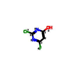 Oc1cc(F)nc(Cl)n1